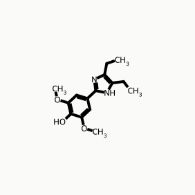 CCc1nc(-c2cc(OC)c(O)c(OC)c2)[nH]c1CC